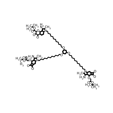 Cc1c(N)c2c3c(ccc2n1CCCCCCCCCCCCOc1cc(OCCCCCCCCCCCCn2c(C)c(N)c4c(OCC(=O)OC(C)(C)C)c5c(=O)c(=O)c5cc42)cc(OCCCCCCCCCCCCn2c(C)c(N)c4c(OCC(=O)OC(C)(C)C)c5c(=O)c(=O)c5cc42)c1)C(=O)C(=O)C(C(=O)OC(C)(C)C)O3